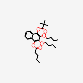 CCCCOc1c(OCCCC)c(OC(=O)C(C)(C)C)c2ccccc2c1OC(=O)CCCC